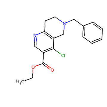 CCOC(=O)c1cnc2c(c1Cl)CN(Cc1ccccc1)CC2